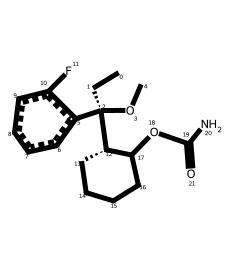 CC[C@@](OC)(c1ccccc1F)[C@H]1CCCCC1OC(N)=O